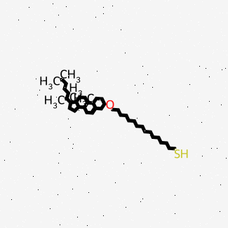 CC(C)CCCC(C)C1CCC2C3CC=C4C[C@@H](OCCCCCCCCCCCCCCCCS)CCC4(C)C3CCC12C